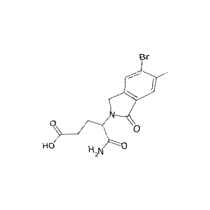 Cc1cc2c(cc1Br)CN(C(CCC(=O)O)C(N)=O)C2=O